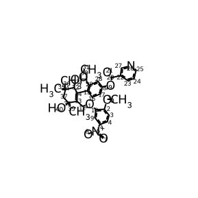 COc1ccc([N+](=O)[O-])cc1OCC1=C(c2ccc(OC(=O)c3cccnc3)cc2OC)C(O)C(C)(C)CC1(C)O